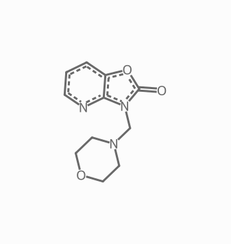 O=c1oc2cccnc2n1CN1CCOCC1